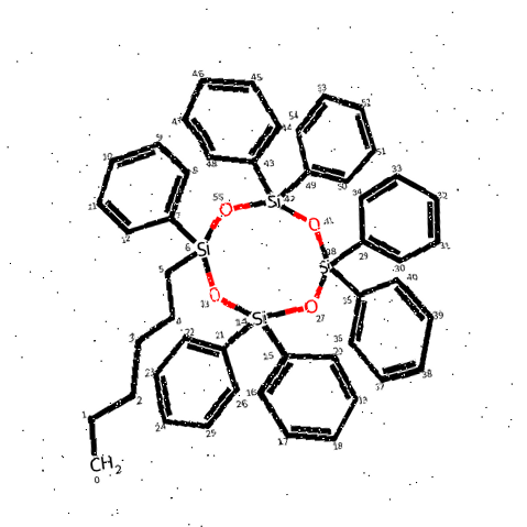 [CH2]CCCCC[Si]1(c2ccccc2)O[Si](c2ccccc2)(c2ccccc2)O[Si](c2ccccc2)(c2ccccc2)O[Si](c2ccccc2)(c2ccccc2)O1